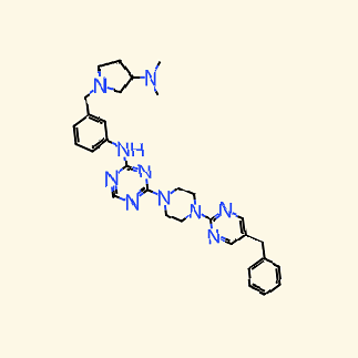 CN(C)C1CCN(Cc2cccc(Nc3ncnc(N4CCN(c5ncc(Cc6ccccc6)cn5)CC4)n3)c2)C1